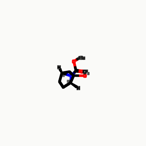 CC(C)(C)OC(=O)N1[C@@H]2CC[C@H]1C(OC(F)(F)F)C2